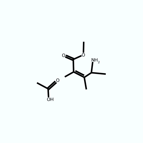 CC(=O)O.COC(=O)C(C)=C(C)C(C)N